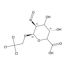 O=N[C@H]1C(O)[C@H](O)C(C(=O)O)O[C@H]1OCC(Cl)(Cl)Cl